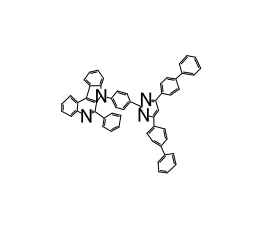 c1ccc(-c2ccc(-c3cc(-c4ccc(-c5ccccc5)cc4)nc(-c4ccc(-n5c6ccccc6c6c7ccccc7nc(-c7ccccc7)c65)cc4)n3)cc2)cc1